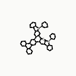 c1ccc(-n2c3ccccc3c3cc4c5cc6c7ccccc7c7ccccc7c6cc5c5cc6c7ccccc7n(-c7ccccc7)c6cc5c4cc32)cc1